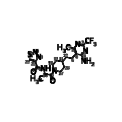 Cc1nc(C(F)(F)F)nc(N)c1CCC1CCN(C(=O)[C@H](C)NC(=O)c2csnn2)CC1